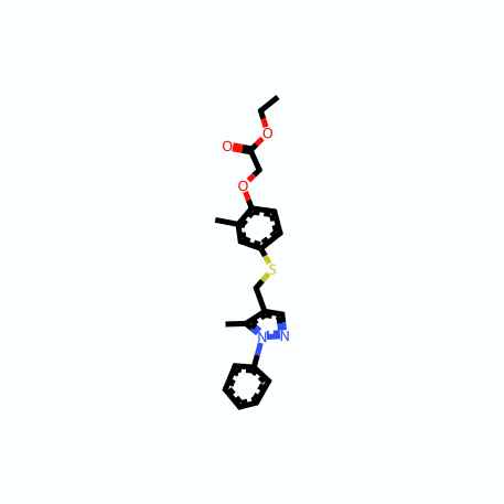 CCOC(=O)COc1ccc(SCc2cnn(-c3ccccc3)c2C)cc1C